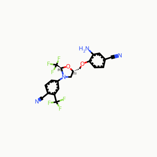 N#Cc1ccc(OC[C@@H]2CN(c3ccc(C#N)c(C(F)(F)F)c3)[C@@H](C(F)(F)F)O2)c(N)c1